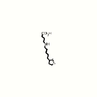 O=C(O)CCCNCCCCCC1CCSS1